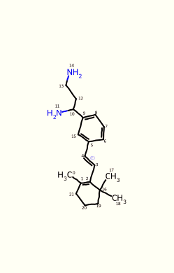 CC1=C(/C=C/c2cccc(C(N)CCN)c2)C(C)(C)CCC1